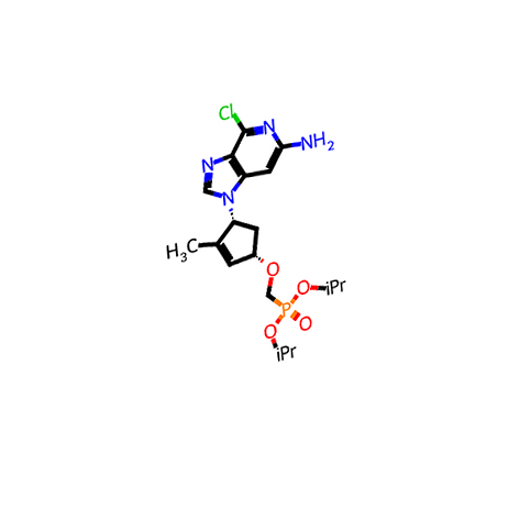 CC1=C[C@@H](OCP(=O)(OC(C)C)OC(C)C)C[C@H]1n1cnc2c(Cl)nc(N)cc21